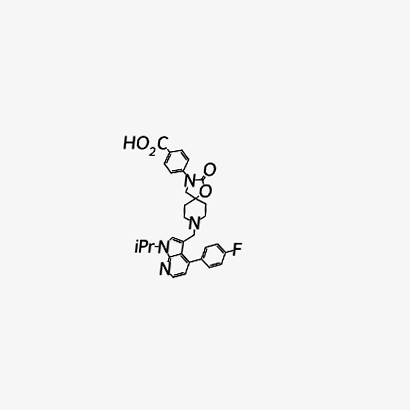 CC(C)n1cc(CN2CCC3(CC2)CN(c2ccc(C(=O)O)cc2)C(=O)O3)c2c(-c3ccc(F)cc3)ccnc21